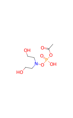 CC(=O)OP(=O)(O)ON(CCO)CCO